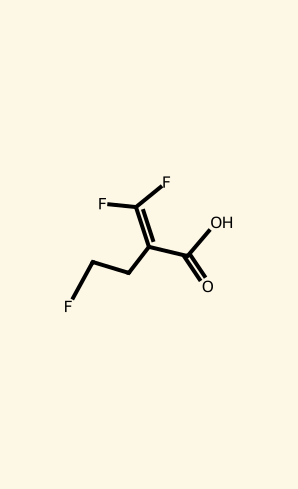 O=C(O)C(CCF)=C(F)F